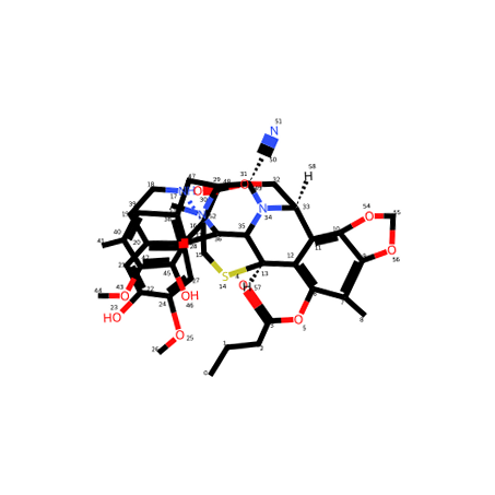 CCCC(=O)Oc1c(C)c2c(c3c1[C@H]1SC[C@]4(NCCc5cc(O)c(OC)cc54)C(=O)OC[C@@H]3N3C1C1c4c(cc(C)c(OC)c4O)CC([C@@H]3C#N)N1C)OCO2